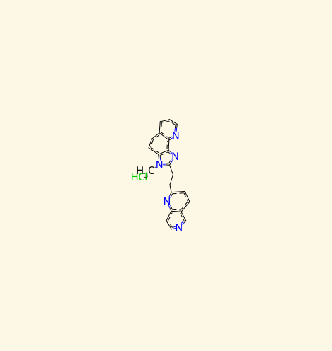 Cl.Cn1c(CCc2ccc3cnccc3n2)nc2c3ncccc3ccc21